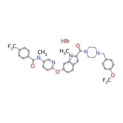 Br.CN(C(=O)c1ccc(C(F)(F)F)cc1)c1ccc(Oc2ccc3cc(C(=O)N4CCN(Cc5ccc(OC(F)(F)F)cc5)CC4)n(C)c3c2)nc1